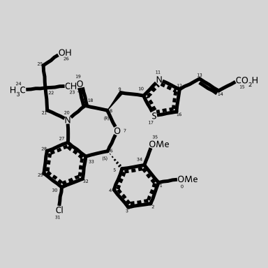 COc1cccc([C@H]2O[C@H](Cc3nc(C=CC(=O)O)cs3)C(=O)N(CC(C)(C)CO)c3ccc(Cl)cc32)c1OC